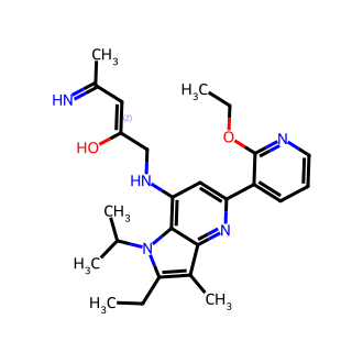 CCOc1ncccc1-c1cc(NC/C(O)=C/C(C)=N)c2c(n1)c(C)c(CC)n2C(C)C